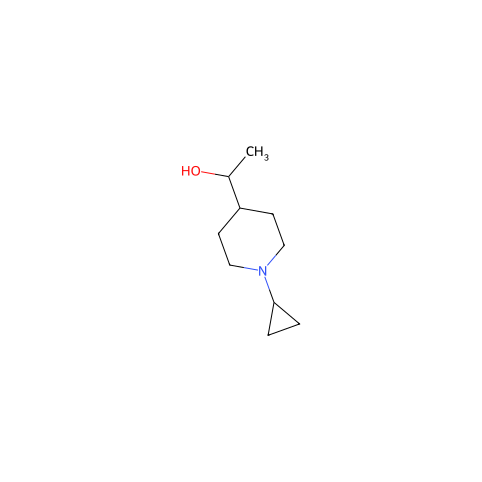 CC(O)C1CCN(C2CC2)CC1